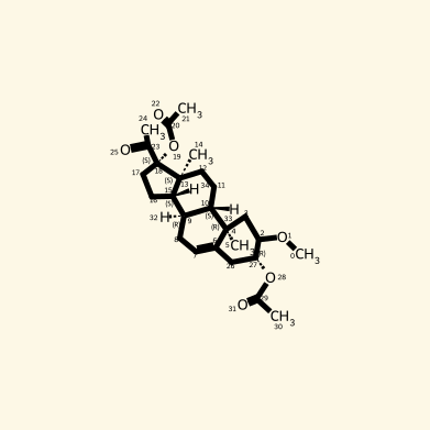 COC1C[C@@]2(C)C(=CC[C@@H]3[C@@H]2CC[C@@]2(C)[C@H]3CC[C@@]2(OC(C)=O)C(C)=O)C[C@H]1OC(C)=O